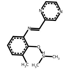 Cc1cccc(N=Cc2cnccn2)c1O[SiH](C)C